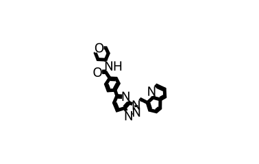 O=C(NC1CCOCC1)c1ccc(-c2ccc3nnn(Cc4cccc5cccnc45)c3n2)cc1